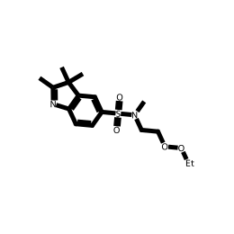 CCOOCCN(C)S(=O)(=O)c1ccc2c(c1)C(C)(C)C(C)=N2